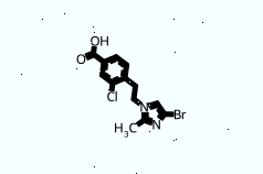 Cc1nc(Br)cn1CCc1ccc(C(=O)O)cc1Cl